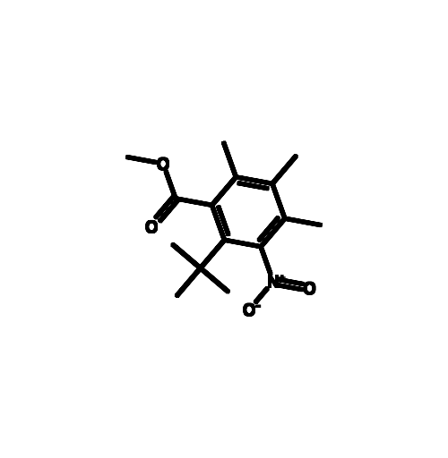 COC(=O)c1c(C)c(C)c(C)c([N+](=O)[O-])c1C(C)(C)C